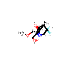 COC[C@]1(CO)C(=O)[C@@H]2CCN1CC2(F)F